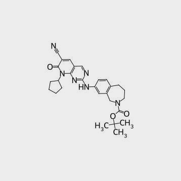 CC(C)(C)OC(=O)N1CCCc2ccc(Nc3ncc4cc(C#N)c(=O)n(C5CCCC5)c4n3)cc2C1